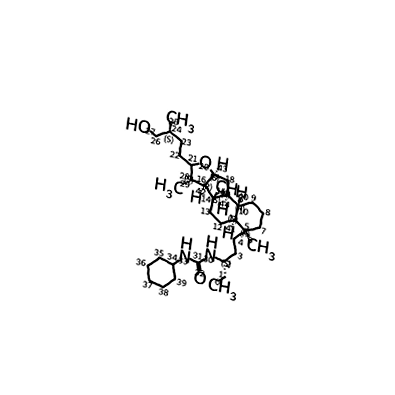 CC[C@@H](CC[C@@]1(C)CCC[C@@H]2[C@@H]1CC[C@]1(C)[C@@H]3[C@H](C[C@@H]21)OC(CC[C@H](C)CO)[C@H]3C)NC(=O)NC1CCCCC1